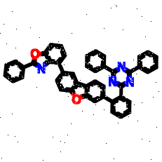 c1ccc(-c2nc(-c3ccccc3)nc(-c3ccccc3-c3ccc4c(c3)oc3ccc(-c5cccc6oc(-c7ccccc7)nc56)cc34)n2)cc1